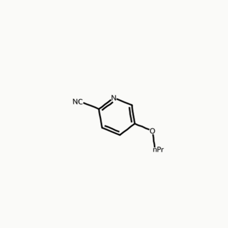 CCCOc1ccc(C#N)nc1